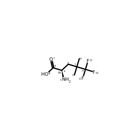 CC(C)(C[C@@H](N)C(=O)O)C(F)(F)F